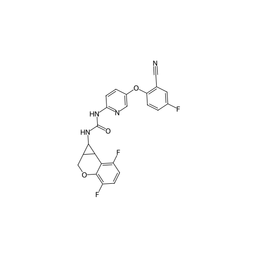 N#Cc1cc(F)ccc1Oc1ccc(NC(=O)NC2C3COc4c(F)ccc(F)c4C32)nc1